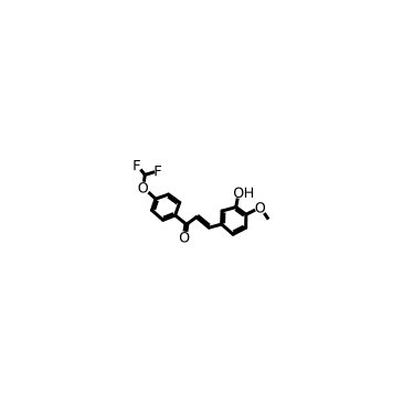 COc1ccc(C=CC(=O)c2ccc(OC(F)F)cc2)cc1O